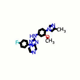 COc1cc(NC2=N[N+]3(c4ccc(F)cc4)C=CN=CC3=N2)ccc1-n1cnc(C)c1